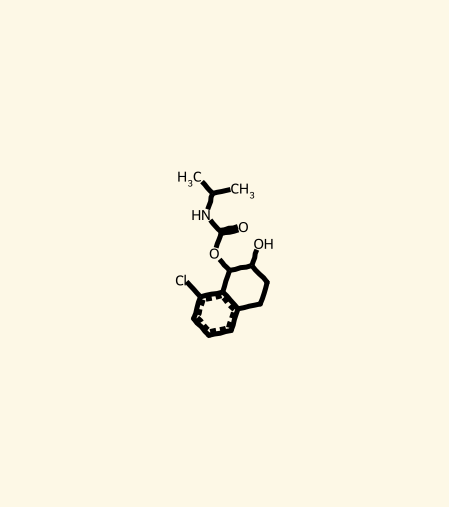 CC(C)NC(=O)OC1c2c(Cl)cccc2CCC1O